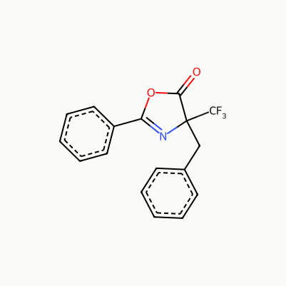 O=C1OC(c2ccccc2)=NC1(Cc1ccccc1)C(F)(F)F